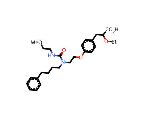 CCOC(Cc1ccc(OCCN(CCCCc2ccccc2)C(=O)NCCOC)cc1)C(=O)O